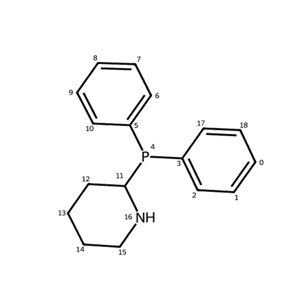 c1ccc(P(c2ccccc2)C2CCCCN2)cc1